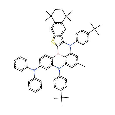 Cc1cc2c3c(c1)N(c1ccc(C(C)(C)C)cc1)c1c(sc4cc5c(cc14)C(C)(C)CCC5(C)C)B3c1ccc(N(c3ccccc3)c3ccccc3)cc1N2c1ccc(C(C)(C)C)cc1